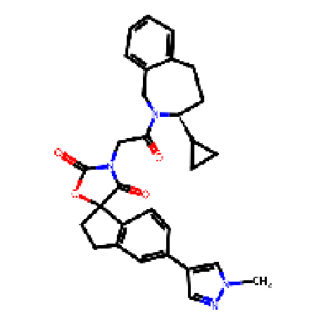 Cn1cc(-c2ccc3c(c2)CCC32OC(=O)N(CC(=O)N3Cc4ccccc4CC[C@H]3C3CC3)C2=O)cn1